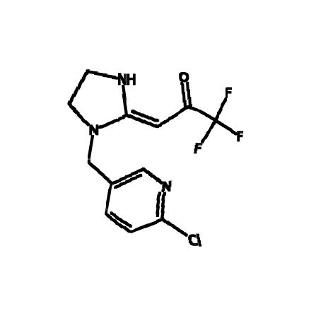 O=C(/C=C1\NCCN1Cc1ccc(Cl)nc1)C(F)(F)F